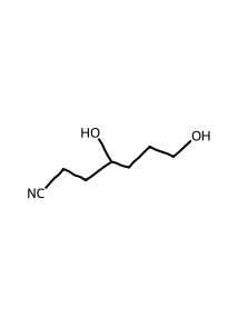 N#CCCC(O)CCCO